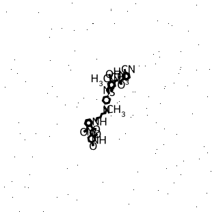 CN(CCCCNc1cccc2c1C(=O)N(C1CCC(=O)NC1=O)C2=O)C[C@H]1CC[C@H](c2nc3cc(C(C)(C)O)c(NC(=O)c4cccc(C#N)n4)cc3s2)CC1